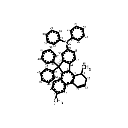 Cc1ccc2c3c(c4c(c2c1)C=CCC4C)-c1ccc(N(c2ccccc2)c2ccccc2)cc1C3(c1ccccc1)c1ccccc1